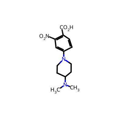 CN(C)C1CCN(c2ccc(C(=O)O)c([N+](=O)[O-])c2)CC1